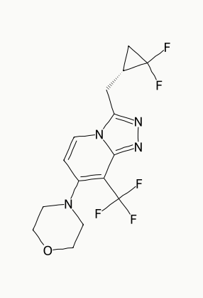 FC(F)(F)c1c(N2CCOCC2)ccn2c(C[C@@H]3CC3(F)F)nnc12